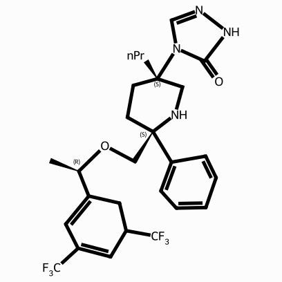 CCC[C@]1(n2cn[nH]c2=O)CC[C@@](CO[C@H](C)C2=CC(C(F)(F)F)=CC(C(F)(F)F)C2)(c2ccccc2)NC1